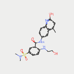 Cc1cc(O)nc2ccc(NC(=O)c3cc(S(=O)(=O)N(C)C)ccc3NCCO)cc12